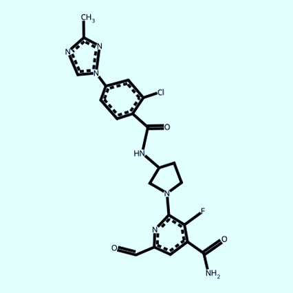 Cc1ncn(-c2ccc(C(=O)NC3CCN(c4nc(C=O)cc(C(N)=O)c4F)C3)c(Cl)c2)n1